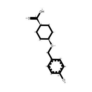 O=C(O)[C@H]1CC[C@@H](OCc2ccc(Cl)cc2)CC1